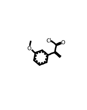 C=C(C(=O)Cl)c1cccc(OC)c1